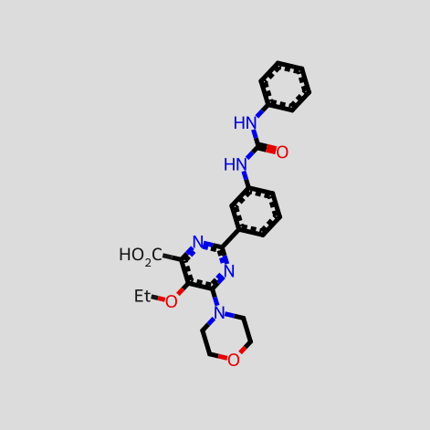 CCOc1c(C(=O)O)nc(-c2cccc(NC(=O)Nc3ccccc3)c2)nc1N1CCOCC1